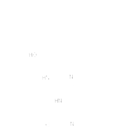 N=C(/N=c1\[nH]c(Cl)nc2ccccc12)c1ccccc1O